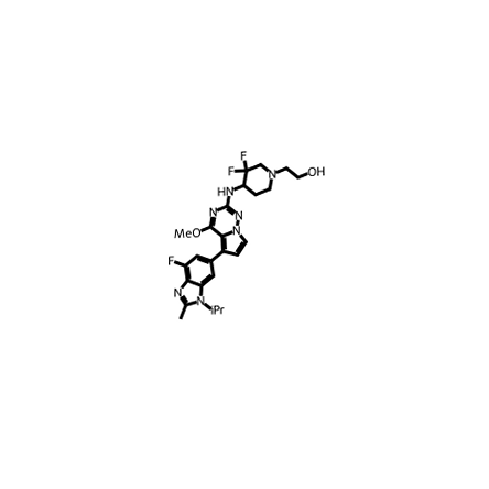 COc1nc(NC2CCN(CCO)CC2(F)F)nn2ccc(-c3cc(F)c4nc(C)n(C(C)C)c4c3)c12